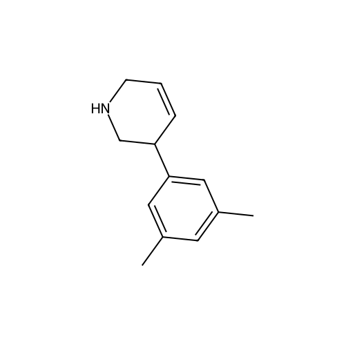 Cc1cc(C)cc(C2C=CCNC2)c1